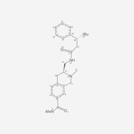 CNC(=O)c1ccc2c(c1)CN(C)[C@H](CNC(=O)C[C@H](c1ccccc1)C(C)(C)C)C2